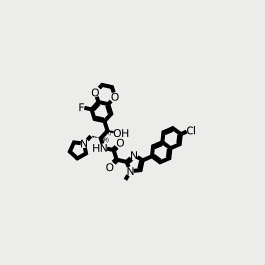 Cn1cc(-c2ccc3cc(Cl)ccc3c2)nc1C(=O)C(=O)N[C@H](CN1CCCC1)[C@H](O)c1cc(F)c2c(c1)OCCO2